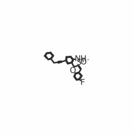 O=C1/C(=C\c2cccc(F)c2)[S+]([O-])Nc2ccc(C#CCc3ccccc3)cc21